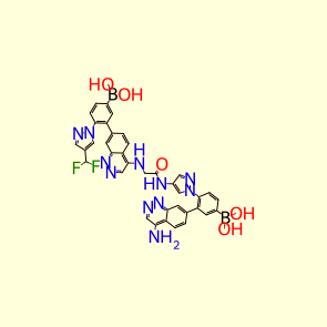 Nc1cnnc2cc(-c3cc(B(O)O)ccc3-n3cc(NC(=O)CNc4cnnc5cc(-c6cc(B(O)O)ccc6-n6cc(C(F)F)cn6)ccc45)cn3)ccc12